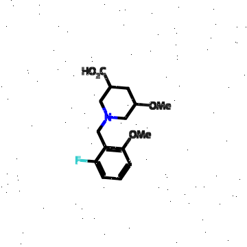 COc1cccc(F)c1CN1CC(OC)CC(C(=O)O)C1